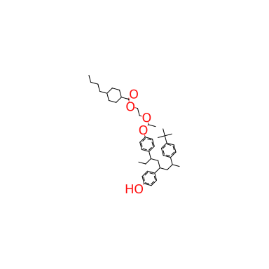 CCCCC1CCC(C(=O)OCCOC(C)Oc2ccc(C(CC)CC(CC(C)c3ccc(C(C)(C)C)cc3)c3ccc(O)cc3)cc2)CC1